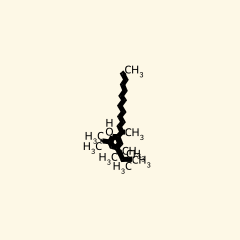 CCCCCCCCCCCCC(C)c1cc(C(C)(C)CC(C)(C)C)cc(C(C)C)c1O